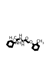 C=C(NNC(=O)COc1ccccc1C)Nc1ccccc1